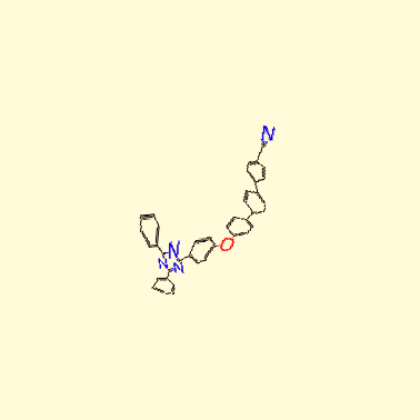 N#Cc1ccc(-c2ccc(-c3ccc(Oc4ccc(-c5nc(-c6ccccc6)nc(-c6ccccc6)n5)cc4)cc3)cc2)cc1